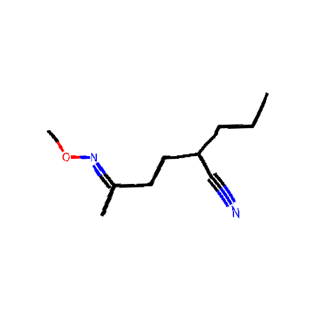 CCCC(C#N)CCC(C)=NOC